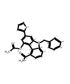 CC(=O)Oc1cc(-c2cccs2)cc2c1c1c(C(N)=O)cccc1n2Cc1ccccc1